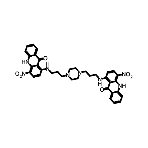 O=c1c2ccccc2[nH]c2c([N+](=O)[O-])ccc(NCCCN3CCN(CCCNc4ccc([N+](=O)[O-])c5[nH]c6ccccc6c(=O)c45)CC3)c12